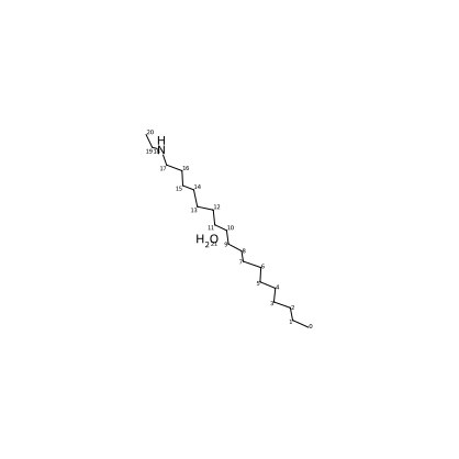 CCCCCCCCCCCCCCCCCCNCC.O